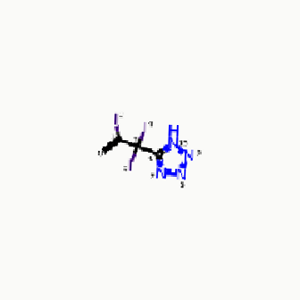 C=C(I)C(I)(I)c1nnn[nH]1